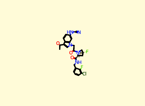 CC(=O)c1cn(CC(=O)N2C[C@H](F)C[C@H]2C(=O)NCc2cccc(Cl)c2F)c2cc(NC#N)ccc12